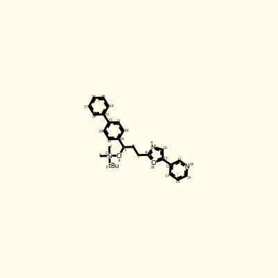 CC(C)(C)[Si](C)(C)OC(CCc1ncc(-c2cccnc2)o1)c1ccc(-c2ccccc2)cc1